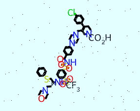 O=C(NS(=O)(=O)c1ccc(N[C@H](CCN2CCOCC2)CSc2ccccc2)c(S(=O)(=O)C(F)(F)F)c1)c1ccc(N2CCN(CC3=C(c4ccc(Cl)cc4)CCN(C(=O)O)C3)CC2)cc1